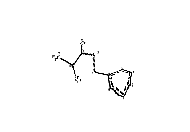 CCC(SCc1ccccc1)C(C(F)(F)F)C(F)(F)F